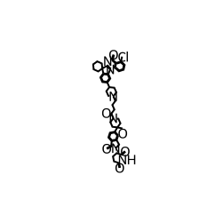 O=C1CC[C@H](N2Cc3c(ccc4c3OCC43CCN(C(=O)CCCN4CCC(c5ccc6c(c5)-n5c(nc(=O)c7c(Cl)cccc75)C65CCCCC5)CC4)CC3)C2=O)C(=O)N1